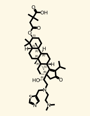 CC(C)C1=C2[C@H]3CC[C@@H]4[C@@]5(C)CC[C@H](OC(=O)CC(C)(C)C(=O)O)C(C)(C)[C@H]5CC[C@@]4(C)[C@]3(C)CC[C@@]2([C@@H](O)CN(CCN(C)C)Cc2cncs2)CC1=O